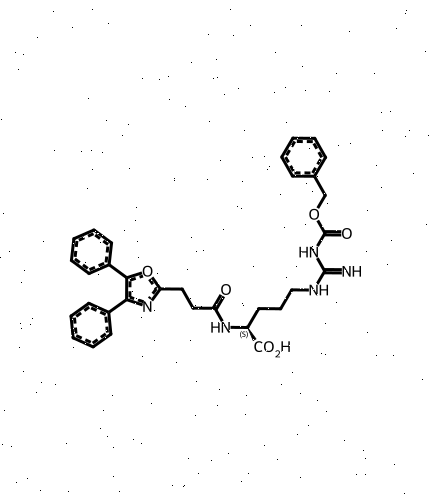 N=C(NCCC[C@H](NC(=O)CCc1nc(-c2ccccc2)c(-c2ccccc2)o1)C(=O)O)NC(=O)OCc1ccccc1